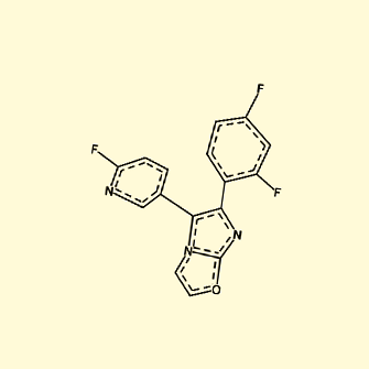 Fc1ccc(-c2nc3occn3c2-c2ccc(F)nc2)c(F)c1